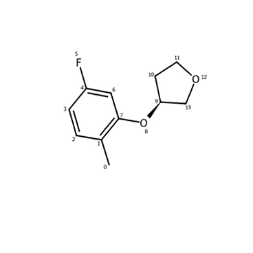 Cc1ccc(F)cc1O[C@H]1CCOC1